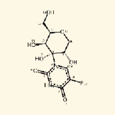 O=c1[nH]c(=O)n([C@]2(O)[C@@H](O)CO[C@H](CO)[C@@H]2O)cc1F